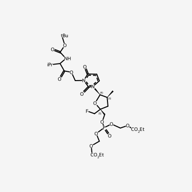 CCOC(=O)OCOP(=O)(OCOC(=O)OCC)OC[C@]1(CF)C[C@H](C)[C@H](n2ccc(=O)n(COC(=O)C(NC(=O)OC(C)(C)C)C(C)C)c2=O)O1